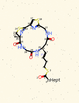 CCCCCCCC(=O)SCC/C=C/[C@@H]1CC(=O)NCc2nc(cs2)C2=N[C@@](C)(CS2)C(=O)NCC(=O)N1